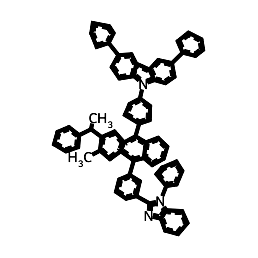 Cc1cc2c(-c3cccc(-c4nc5ccccc5n4-c4ccccc4)c3)c3ccccc3c(-c3ccc(-n4c5ccc(-c6ccccc6)cc5c5cc(-c6ccccc6)ccc54)cc3)c2cc1C(C)c1ccccc1